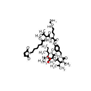 CC[C@H](C)[C@@H]([C@@H](CC)OC)N(C)C(=O)[C@@H](NC(=O)[C@H](C(C)C)N(C)C(=O)OCc1ccc(NC(=O)[C@H](CCCNOCN)NC(=O)[C@@H](NC(=O)CCCCCN2C(=O)C=CC2=O)C(C)C)cc1)C(C)C